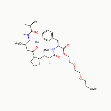 CC[C@H](C)[C@@H]([C@@H](CC(=O)N1CCC[C@H]1[C@H](OC)[C@@H](C)C(=O)N[C@@H](Cc1ccccc1)C(=O)OCCOCCOCCOC)OC)N(C)C(=O)[C@@H](C)C(C)C